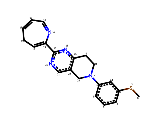 CSc1cccc(N2CCc3nc(C4=CCC=CC=N4)ncc3C2)c1